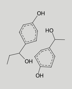 CC(O)c1ccc(O)cc1.CCC(O)c1ccc(O)cc1